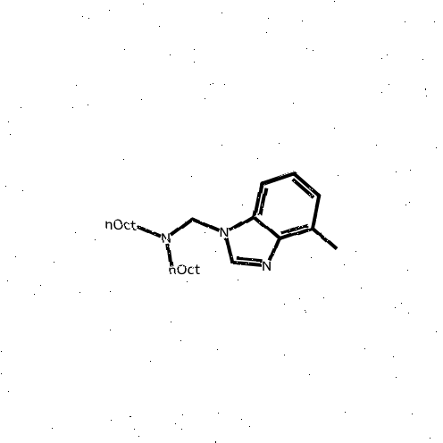 CCCCCCCCN(CCCCCCCC)Cn1cnc2c(C)cccc21